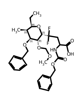 CC[C@H]1O[C@H](C(F)(F)CC(NC(=O)OCc2ccccc2)C(=O)O)[C@H](OCOC)[C@@H](OCc2ccccc2)[C@H]1C